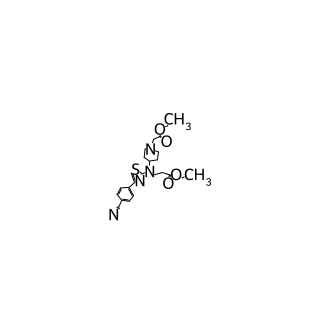 CCOC(=O)CCN(c1nc(-c2ccc(C#N)cc2)cs1)C1CCN(CC(=O)OCC)CC1